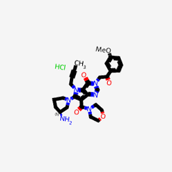 CC#CCn1c(N2CCC[C@H](N)C2)c(C(=O)N2CCOCC2)c2ncn(CC(=O)c3cccc(OC)c3)c(=O)c21.Cl